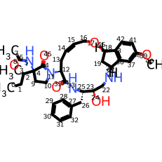 CCC(C)[C@@]1(NC(C)=O)CCN([C@H]2C/C=C\CO[C@@H]3C[C@H](NC[C@@H](O)[C@H](Cc4ccccc4)NC2=O)c2cc(OC)ccc23)C1=O